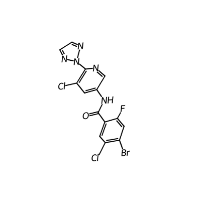 O=C(Nc1cnc(-n2nccn2)c(Cl)c1)c1cc(Cl)c(Br)cc1F